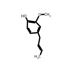 CC=CCc1ccc(O)c(OC)c1